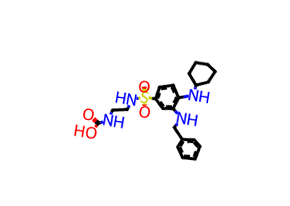 O=C(O)NCCNS(=O)(=O)c1ccc(NC2CCCCC2)c(NCc2ccccc2)c1